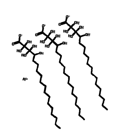 CCCCCCCCCCCCCCC(O)C(O)(O)C(O)(O)C(=O)[O-].CCCCCCCCCCCCCCC(O)C(O)(O)C(O)(O)C(=O)[O-].CCCCCCCCCCCCCCC(O)C(O)(O)C(O)(O)C(=O)[O-].[Al+3]